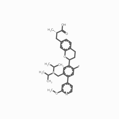 COc1cc(-c2cc(F)c(C3CCc4ccc(C[C@H](C)C(=O)O)cc4O3)cc2CN(C(C)C)C(C)C)ccn1